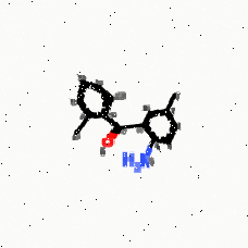 Cc1ccc(N)c(C(=O)c2ccccc2C)c1